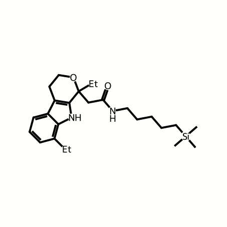 CCc1cccc2c3c([nH]c12)C(CC)(CC(=O)NCCCCC[Si](C)(C)C)OCC3